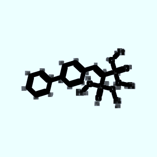 CCOP(=O)(OCC)C(=Cc1ccc(-c2ccccc2)cc1)P(=O)(OCC)OCC